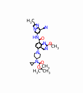 COc1ncc2c(N3CCC(N(C(=O)OC(C)(C)C)C4CC4)CC3)ccc(C(=O)Nc3cc(C#N)c4nc(C)cn4c3)c2n1